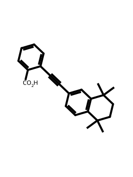 CC1(C)CCC(C)(C)c2cc(C#Cc3ccccc3C(=O)O)ccc21